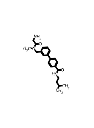 CC(C)CCNC(=O)c1ccc(-c2cccc(CN(C)C(=O)CN)c2)cc1